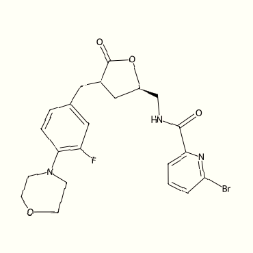 O=C(NC[C@H]1CC(Cc2ccc(N3CCOCC3)c(F)c2)C(=O)O1)c1cccc(Br)n1